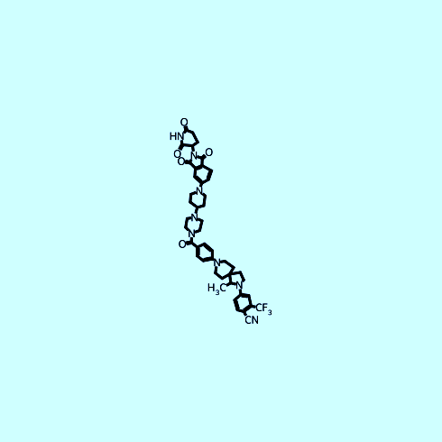 CC1N(c2ccc(C#N)c(C(F)(F)F)c2)CCC12CCN(c1ccc(C(=O)N3CCN(C4CCN(c5ccc6c(c5)C(=O)N(C5CCC(=O)NC5=O)C6=O)CC4)CC3)cc1)CC2